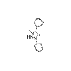 CN1NN(c2ccccc2)[C]C1c1ccccc1